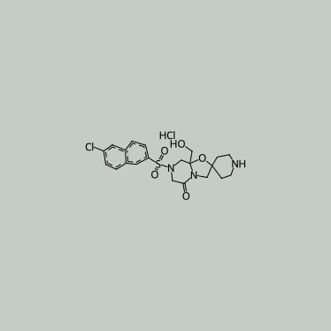 Cl.O=C1CN(S(=O)(=O)c2ccc3cc(Cl)ccc3c2)CC2(CO)OC3(CCNCC3)CN12